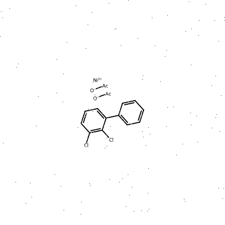 CC(=O)[O-].CC(=O)[O-].Clc1cccc(-c2ccccc2)c1Cl.[Ni+2]